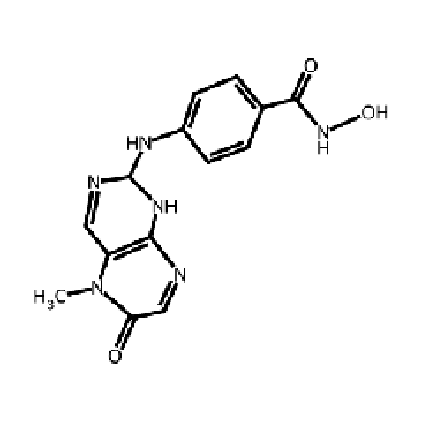 Cn1c2c(ncc1=O)NC(Nc1ccc(C(=O)NO)cc1)N=C2